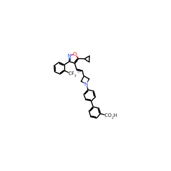 O=C(O)c1cccc(-c2ccc(N3CC(/C=C/c4c(-c5ccccc5C(F)(F)F)noc4C4CC4)C3)cc2)c1